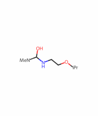 CNC(O)NCCOC(C)C